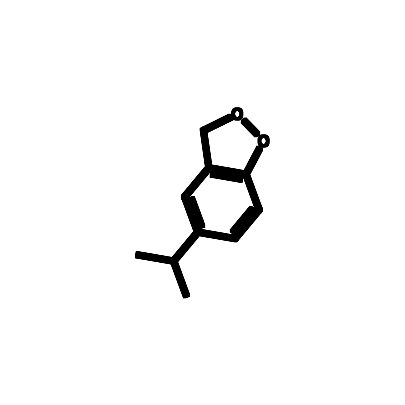 CC(C)c1ccc2c(c1)COO2